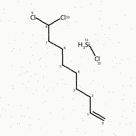 C=CCCCCCCC(Cl)Cl.[SiH3]Cl